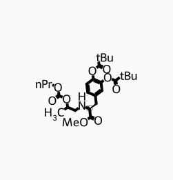 CCCOC(=O)OC(C)CN[C@@H](Cc1ccc(OC(=O)C(C)(C)C)c(OC(=O)C(C)(C)C)c1)C(=O)OC